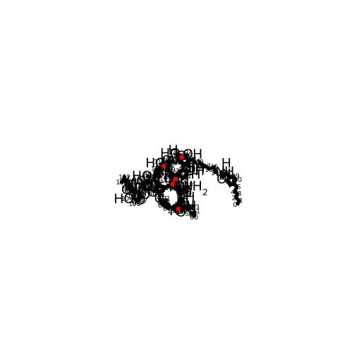 CCCCCCc1ccc(NC(=O)NCCCCCCNCc2c(O)cc3c(c2O)-c2cc(ccc2O)[C@H]2NC(=O)[C@@H]4NC(=O)[C@H](CC(N)=O)NC(=O)[C@H](NC(=O)[C@@H](CC(C)C)NC)[C@H](O)c5ccc(c(C)c5)Oc5cc4cc(c5O[C@@H]4O[C@H](CO)[C@@H](O)[C@H](O)[C@H]4O[C@H]4C[C@](C)(NC(=O)NC5CC5)[C@H](O)[C@H](C)O4)Oc4ccc(cc4Cl)[C@@H](O)[C@H](NC2=O)C(=O)N[C@@H]3C(=O)O)cc1